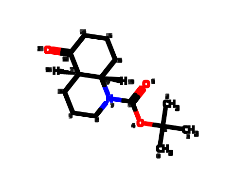 CC(C)(C)OC(=O)N1CCC[C@H]2C(=O)CCC[C@@H]21